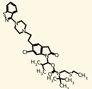 CCSCN(C(=O)OC(C(C)C)N1C(=O)Cc2cc(CCN3CCN(c4nsc5ccccc45)CC3)c(Cl)cc21)C(C)(C)C